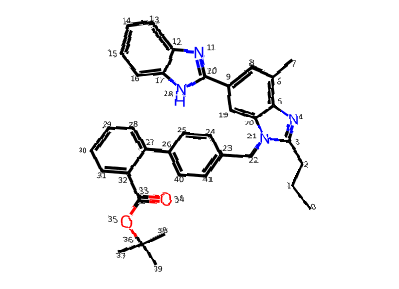 CCCc1nc2c(C)cc(-c3nc4ccccc4[nH]3)cc2n1Cc1ccc(-c2ccccc2C(=O)OC(C)(C)C)cc1